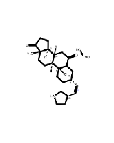 C[C@]12CC[C@@H](/C=C\[C@H]3CCNC3)CC1C(=O)C[C@@H]1[C@@H]2CC[C@]2(C)C(=O)CC[C@@H]12.O=CO